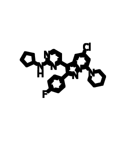 Fc1ccc(-c2nn3c(N4CCCCC4)cc(Cl)cc3c2-c2ccnc(NC3CCCC3)n2)cc1